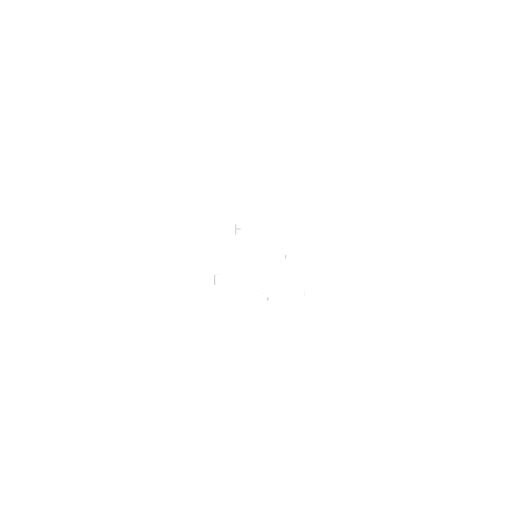 O=S1OC(F)C(F)O1